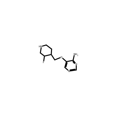 Nc1ncncc1OCC1CCNCC1F